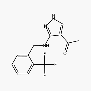 CC(=O)c1c[nH]nc1NCc1ccccc1C(F)(F)F